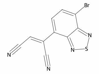 N#C/C=C(\C#N)c1ccc(Br)c2nsnc12